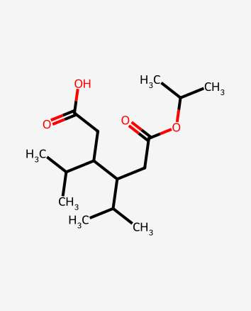 CC(C)OC(=O)CC(C(C)C)C(CC(=O)O)C(C)C